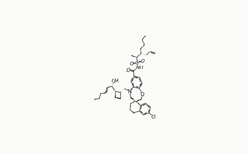 C=CC[C@@H](CCCC)[C@H](C)S(=O)(=O)NC(=O)c1ccc2c(c1)N(C[C@@H]1CC[C@H]1[C@@H](O)/C=C/CCC)C[C@@]1(CCCc3cc(Cl)ccc31)CO2